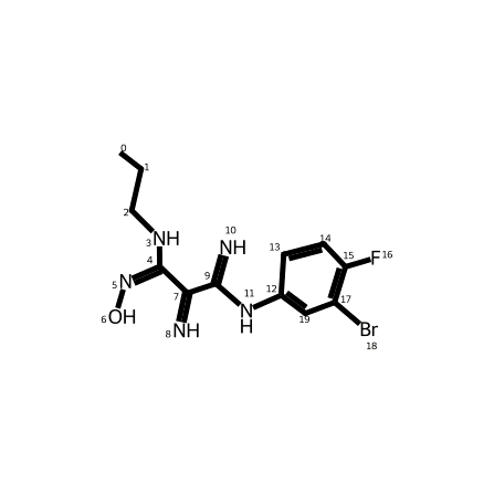 CCCN/C(=N/O)C(=N)C(=N)Nc1ccc(F)c(Br)c1